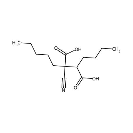 CCCCCC(C#N)(C(=O)O)C(CCCC)C(=O)O